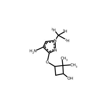 [2H]C([2H])([2H])n1cc(N)c(OC2CC(O)C2(C)C)n1